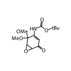 COC1(OC)C(NC(=O)OC(C)(C)C)=CC(=O)C2OC21